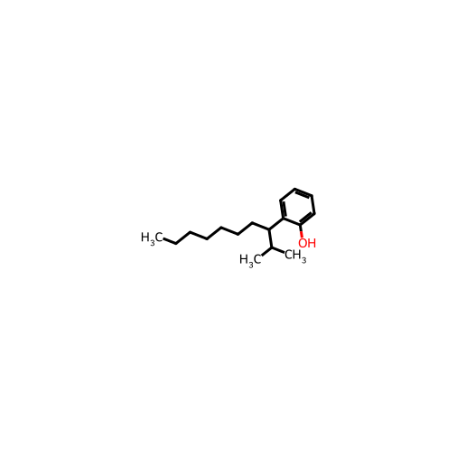 CCCCCCCC(c1ccccc1O)C(C)C